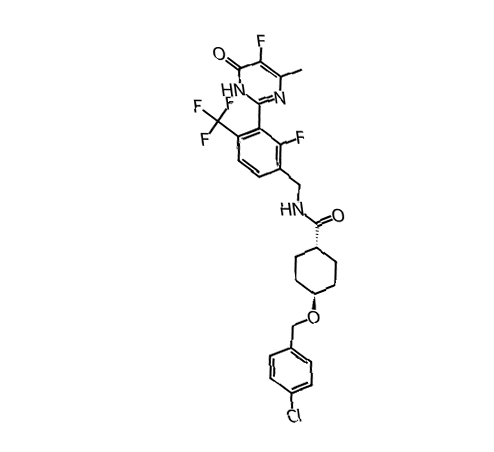 Cc1nc(-c2c(C(F)(F)F)ccc(CNC(=O)[C@H]3CC[C@H](OCc4ccc(Cl)cc4)CC3)c2F)[nH]c(=O)c1F